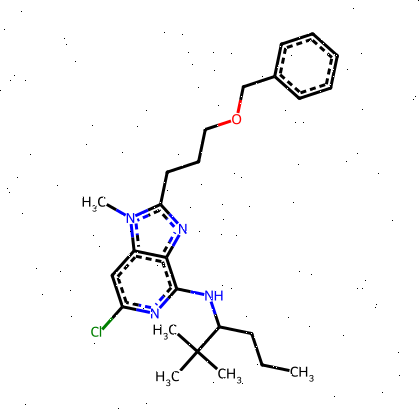 CCCC(Nc1nc(Cl)cc2c1nc(CCCOCc1ccccc1)n2C)C(C)(C)C